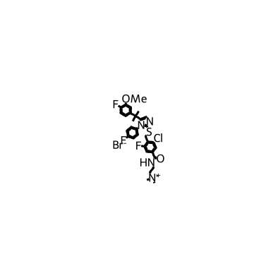 COc1cc(C(C)(C)c2cnc(SCc3c(F)cc(C(=O)NCC[N+](C)(C)C)cc3Cl)n2-c2ccc(F)cc2)ccc1F.[Br-]